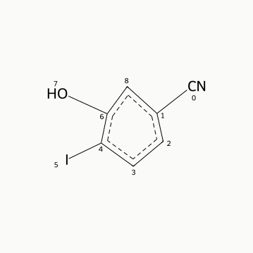 N#Cc1ccc(I)c(O)c1